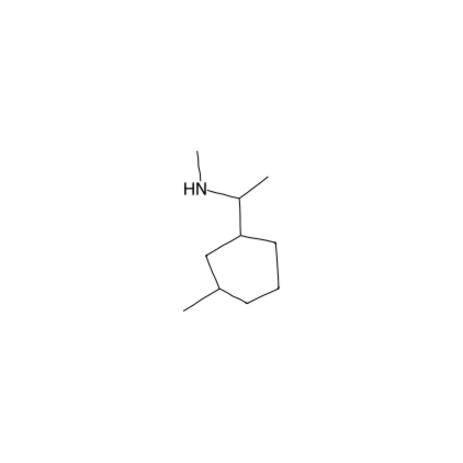 CNC(C)C1CCCC(C)C1